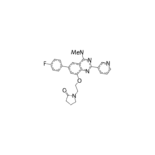 CNc1nc(-c2cccnc2)nc2c(OCCN3CCCC3=O)cc(-c3ccc(F)cc3)cc12